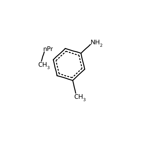 CCCC.Cc1cccc(N)c1